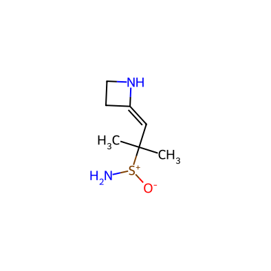 CC(C)(C=C1CCN1)[S+](N)[O-]